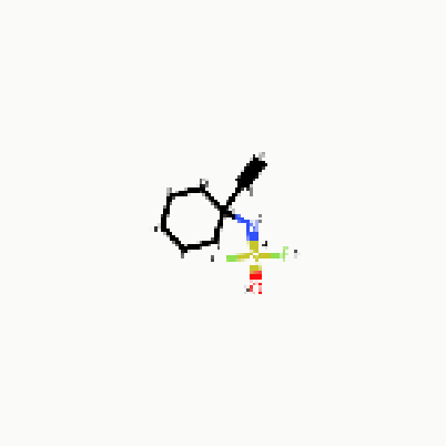 C#CC1(N=S(=O)(F)F)CCCCC1